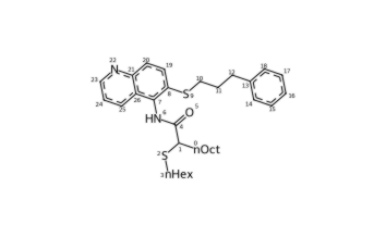 CCCCCCCCC(SCCCCCC)C(=O)Nc1c(SCCCc2ccccc2)ccc2ncccc12